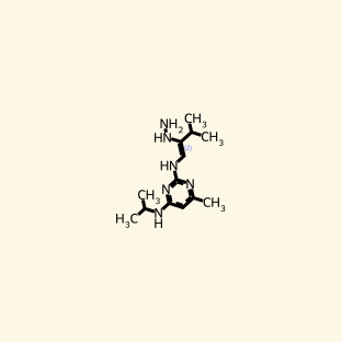 Cc1cc(NC(C)C)nc(N/C=C(\NN)C(C)C)n1